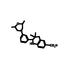 CC1CN(c2cccc(C3Nc4ccc(C(=O)O)cc4CC3(C)C)c2)CC(C)O1